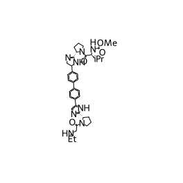 CCNCC(=O)N1CCC[C@H]1c1ncc(-c2ccc(-c3ccc(C4CN=C([C@@H]5CCCN5C(=O)[C@@H](NC(=O)OC)C(C)C)N4)cc3)cc2)[nH]1